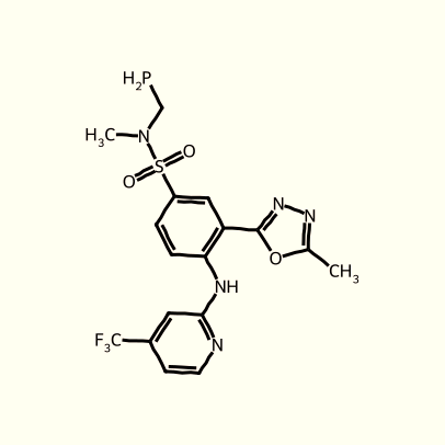 Cc1nnc(-c2cc(S(=O)(=O)N(C)CP)ccc2Nc2cc(C(F)(F)F)ccn2)o1